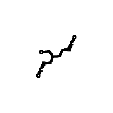 O=C=NCCC(CCl)CN=C=O